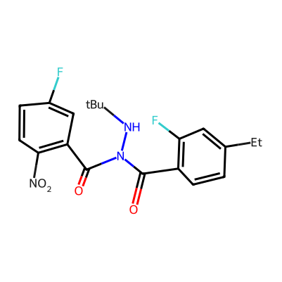 CCc1ccc(C(=O)N(NC(C)(C)C)C(=O)c2cc(F)ccc2[N+](=O)[O-])c(F)c1